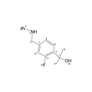 CC(C)NCc1ccc(C(C)(C)O)c(F)c1